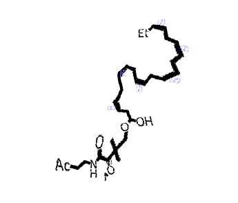 CC/C=C\C/C=C\C/C=C\C/C=C\C/C=C\C/C=C\CC(O)OCC(C)(C)[C@@H](OI)C(=O)NCCC(C)=O